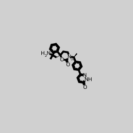 C[C@@H](c1ccc(-c2ccc(=O)[nH]n2)cc1)N1CC[C@](CC(C)(C)N)(c2ccccc2)OC1=O